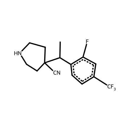 CC(c1ccc(C(F)(F)F)cc1F)C1(C#N)CCNCC1